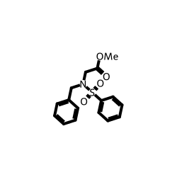 COC(=O)CN(Cc1ccccc1)S(=O)(=O)c1ccccc1